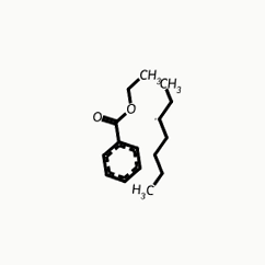 CCOC(=O)c1ccccc1.CC[CH]CCCC